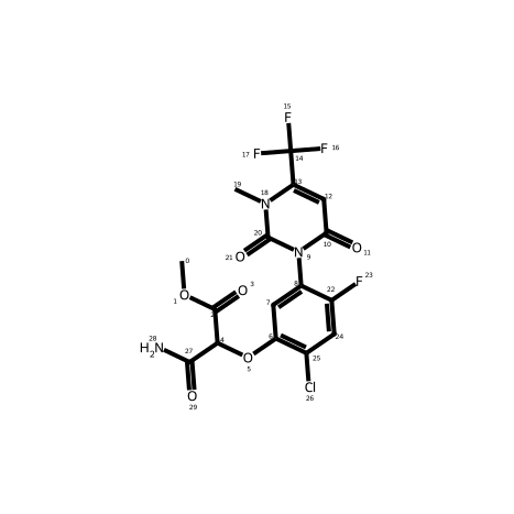 COC(=O)C(Oc1cc(-n2c(=O)cc(C(F)(F)F)n(C)c2=O)c(F)cc1Cl)C(N)=O